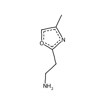 Cc1coc(CCN)n1